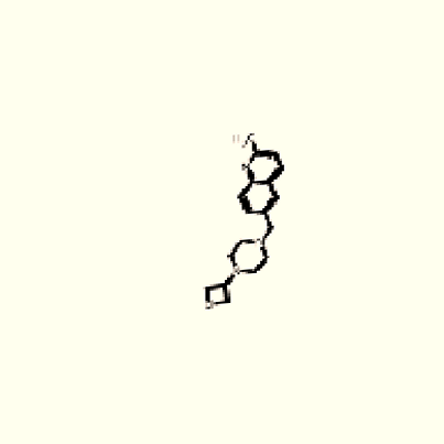 Cc1ccc2cc(CN3CCN(C4COC4)CC3)ccc2n1